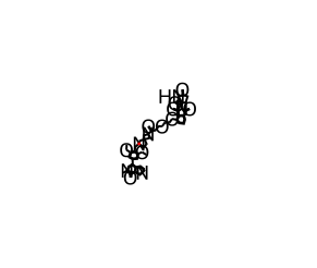 COc1cc(-c2cn(C)c(=O)c3cnccc23)cc(OC)c1CN1CCC2(C1)CN(C(=O)CCOCCOc1cccc3c1C(=O)N(C1CCC(=O)NC1=O)C3=O)C2